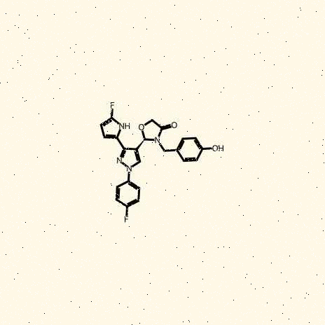 O=C1CO[C@H](c2cn(-c3ccc(F)cc3)nc2-c2ccc(F)[nH]2)N1Cc1ccc(O)cc1